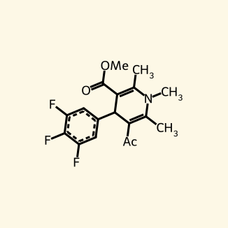 COC(=O)C1=C(C)N(C)C(C)=C(C(C)=O)C1c1cc(F)c(F)c(F)c1